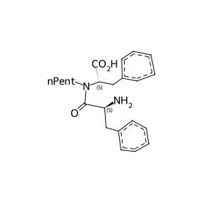 CCCCCN(C(=O)[C@@H](N)Cc1ccccc1)[C@@H](Cc1ccccc1)C(=O)O